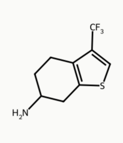 NC1CCc2c(C(F)(F)F)csc2C1